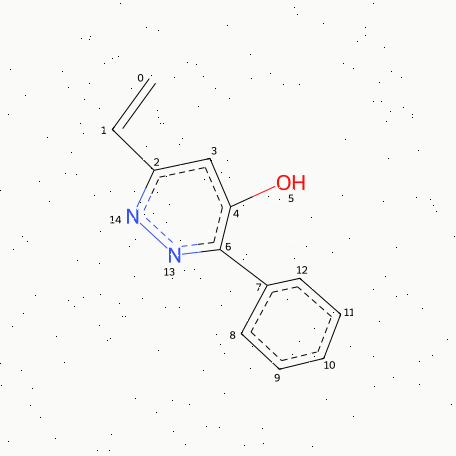 C=Cc1cc(O)c(-c2ccccc2)nn1